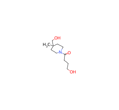 CC1(CO)CCN(C(=O)CCCO)CC1